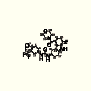 O=C(Nc1ccc(Cl)c(C(F)(F)F)c1)NC1CCc2[nH]c3c(F)ccc(C(=O)N4CCOCC4)c3c2C1